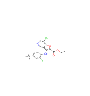 CCOC(=O)c1oc2c(Br)cncc2c1Nc1ccc([Si](C)(C)C)cc1F